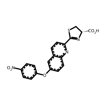 O=C(O)[C@H]1CSC(c2ccc3cc(Oc4ccc([N+](=O)[O-])cc4)ccc3n2)=N1